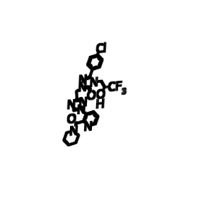 O=C(c1ncccc1-n1cnc(Cn2nc(-c3ccc(Cl)cc3)n(C[C@H](O)C(F)(F)F)c2=O)n1)N1CCCCC1